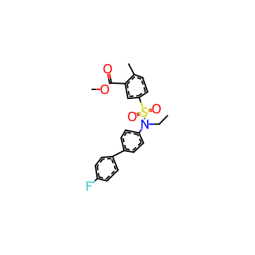 CCN(c1ccc(-c2ccc(F)cc2)cc1)S(=O)(=O)c1ccc(C)c(C(=O)OC)c1